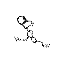 OCCc1ccc2/c(=N/O)cc(-c3cc4ccccc4cn3)oc2c1